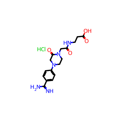 Cl.N=C(N)c1ccc(N2CCN(CC(=O)NCCC(=O)O)C(=O)C2)cc1